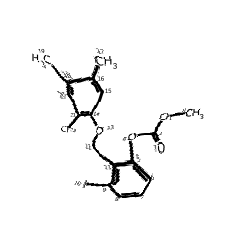 COC(=O)Oc1cccc(I)c1COc1cc(C)c(C)cc1Cl